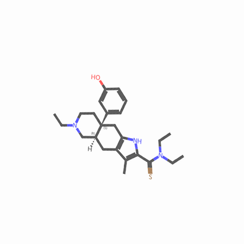 CCN1CC[C@]2(c3cccc(O)c3)Cc3[nH]c(C(=S)N(CC)CC)c(C)c3C[C@H]2C1